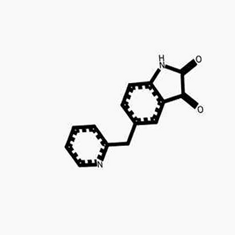 O=C1Nc2ccc(Cc3ccccn3)cc2C1=O